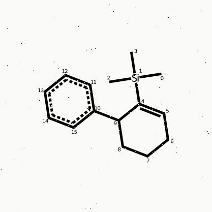 C[Si](C)(C)C1=CCCCC1c1ccccc1